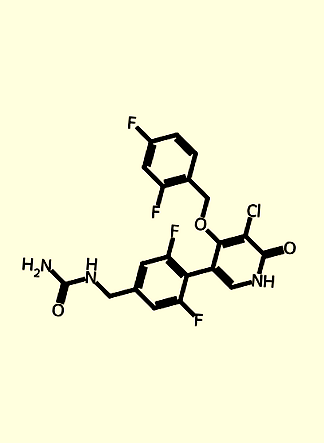 NC(=O)NCc1cc(F)c(-c2c[nH]c(=O)c(Cl)c2OCc2ccc(F)cc2F)c(F)c1